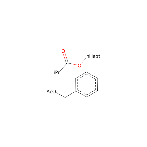 CC(=O)OCc1ccccc1.CCCCCCCOC(=O)C(C)C